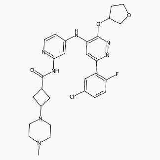 CN1CCN(C2CC(C(=O)Nc3cc(Nc4cc(-c5cc(Cl)ccc5F)nnc4OC4CCOC4)ccn3)C2)CC1